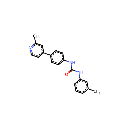 Cc1cc(-c2ccc(NC(=O)Nc3cccc(C(F)(F)F)c3)cc2)ccn1